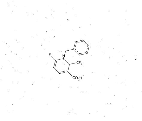 O=C(O)C1=CC=C(F)[SH](Cc2ccccc2)C1C(F)(F)F